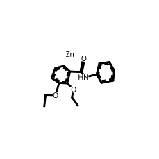 CCOc1cccc(C(=O)Nc2ccccc2)c1OCC.[Zn]